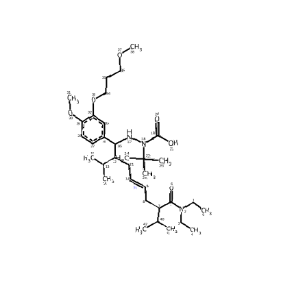 CCN(CC)C(=O)C(C/C=C/CC(C(C)C)C(NN(C(=O)O)C(C)(C)C)c1ccc(OC)c(OCCCOC)c1)C(C)C